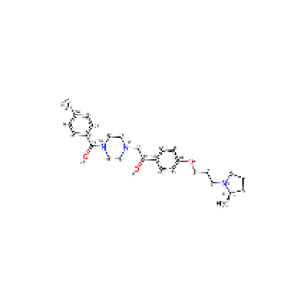 C[C@@H]1CCCN1CCCOc1ccc(C(=O)CN2CCN(C(=O)c3ccc(C(F)(F)F)cc3)CC2)cc1